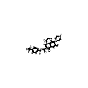 C[C@H]1COc2c(N3CCN(C)CC3)c(F)cc3c(=O)c(C(=O)NNc4ccc(C(F)(F)F)cc4)cn1c23